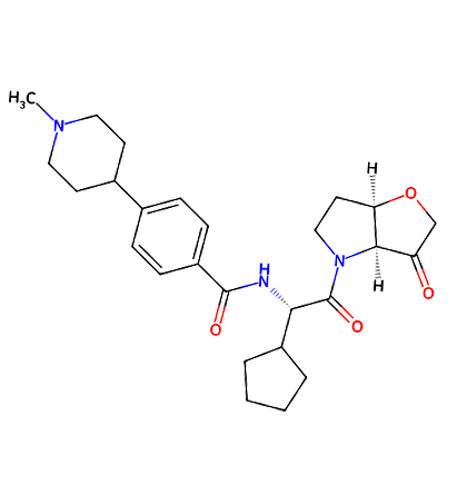 CN1CCC(c2ccc(C(=O)N[C@H](C(=O)N3CC[C@H]4OCC(=O)[C@H]43)C3CCCC3)cc2)CC1